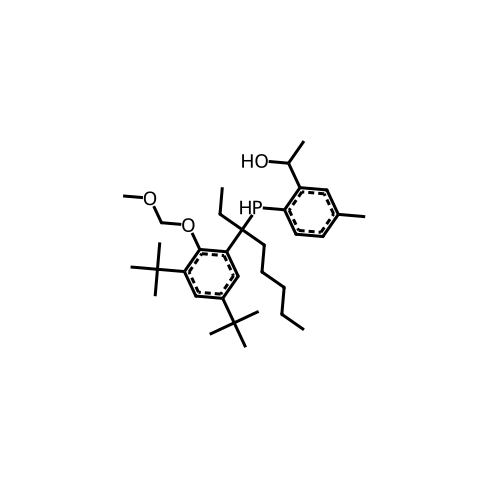 CCCCCC(CC)(Pc1ccc(C)cc1C(C)O)c1cc(C(C)(C)C)cc(C(C)(C)C)c1OCOC